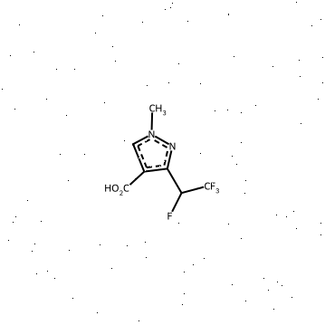 Cn1cc(C(=O)O)c(C(F)C(F)(F)F)n1